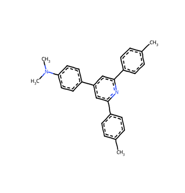 Cc1ccc(-c2cc(-c3ccc(N(C)C)cc3)cc(-c3ccc(C)cc3)n2)cc1